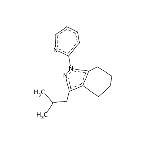 CC(C)Cc1nn(-c2ccccn2)c2c1CCCC2